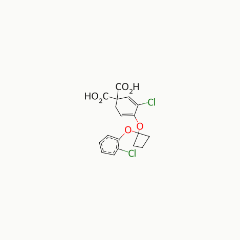 O=C(O)C1(C(=O)O)C=C(Cl)C(OC2(Oc3ccccc3Cl)CCC2)=CC1